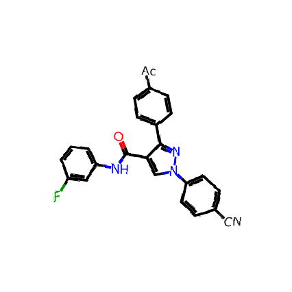 CC(=O)c1ccc(-c2nn(-c3ccc(C#N)cc3)cc2C(=O)Nc2cccc(F)c2)cc1